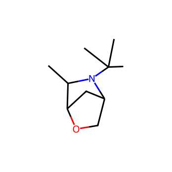 CC1C2CC(CO2)N1C(C)(C)C